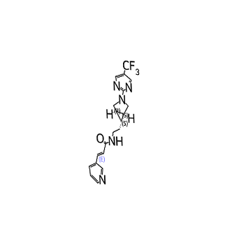 O=C(/C=C/c1cccnc1)NCC[C@@H]1[C@H]2CN(c3ncc(C(F)(F)F)cn3)C[C@@H]12